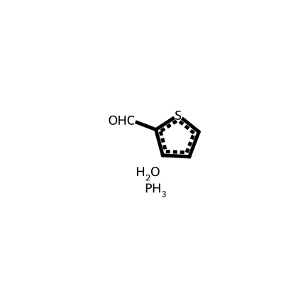 O.O=Cc1cccs1.P